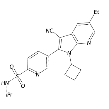 CCc1cnc2c(c1)c(C#N)c(-c1ccc(S(=O)(=O)NC(C)C)nc1)n2C1CCC1